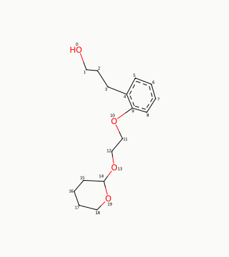 OCCCc1ccccc1OCCOC1CCCCO1